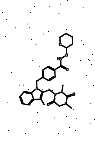 Cc1c(CN2C(=O)CN(C)C(=O)C2C)n(Cc2ccc(C(=O)NOC3CCCCO3)cc2)c2ccccc12